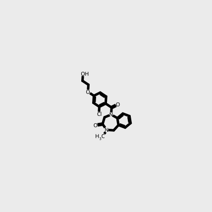 CN1Cc2ccccc2N(C(=O)c2ccc(OCCO)cc2Cl)CC1=O